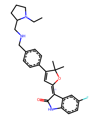 CCN1CCCC1CNCc1ccc(C2=C/C(=C3\C(=O)Nc4ccc(F)cc43)OC2(C)C)cc1